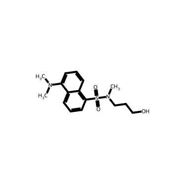 CN(C)c1cccc2c(S(=O)(=O)N(C)CCCO)cccc12